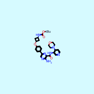 CC(C)(C)OC(=O)N[C@H]1C[C@@H](Oc2ccc(-c3cnc(N)c(C(=O)Nc4cnccc4N4CCOCC4)n3)cc2)C1